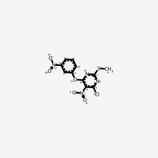 CSc1nc(Cl)c([N+](=O)[O-])c(Oc2cccc([N+](=O)[O-])c2)n1